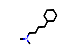 CN(C)CCCC[C]1CCCCC1